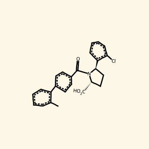 Cc1ccccc1-c1ccc(C(=O)N2[C@@H](C(=O)O)CC[C@@H]2c2ccccc2Cl)cc1